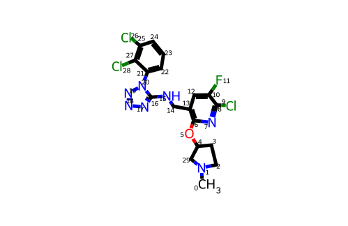 CN1CCC(Oc2nc(Cl)c(F)cc2CNc2nnnn2-c2cccc(Cl)c2Cl)C1